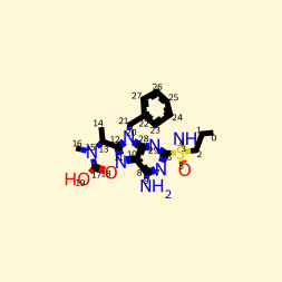 CCCS(=N)(=O)c1nc(N)c2nc(C(C)N(C)C(=O)O)n(Cc3ccccc3)c2n1